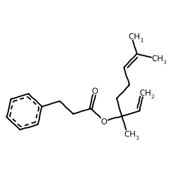 C=CC(C)(CCC=C(C)C)OC(=O)CCc1ccccc1